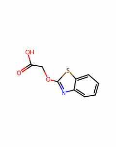 O=C(O)COc1nc2ccccc2s1